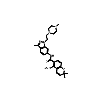 COc1c(C(=O)Nc2ccc3c(C)nn(CCN4CCN(C)CC4)c3c2)ccc2c1C=CC(C)(C)O2